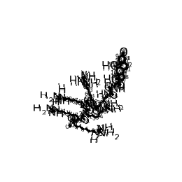 CCN(CCCCCCNC(=N)N)C(=O)CN(CCCCCCNC(=N)N)C(=O)CN(CCCCCCNC(=N)N)C(=O)CN(CCCCCCNC(=N)N)C(=O)CN(CCCCCCNC(=N)N)C(=O)CCCCCNC(=O)C(=O)NCC(=O)C1(O)CCC2C3CCC4=CC(=O)C=CC4(C)C3C(O)CC21C